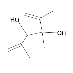 C=C(C)C(O)C(C)(O)C(=C)C